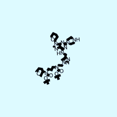 CC(C)(C)OC(=O)N(CCCN(C(=O)OC(C)(C)C)C1CCCCC1)CCn1cc(CNc2nc(N3CCNCC3)nc3c2ncn3C2CCCCO2)nn1